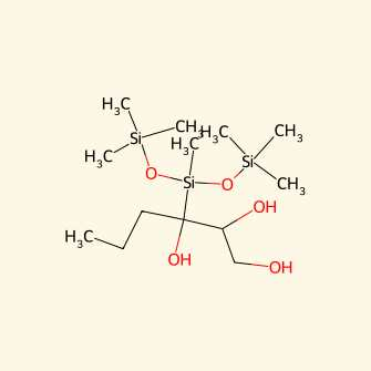 CCCC(O)(C(O)CO)[Si](C)(O[Si](C)(C)C)O[Si](C)(C)C